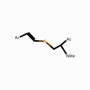 CNC(CS/C=C/C(C)=O)C(C)=O